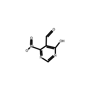 O=Cc1c(O)ncnc1[N+](=O)[O-]